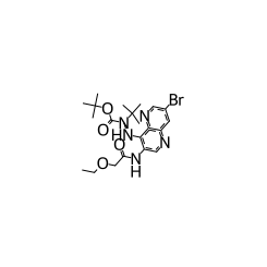 CCOCC(=O)Nc1cnc2cc(Br)cnc2c1NN(C(=O)OC(C)(C)C)C(C)(C)C